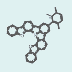 CC1=C(c2cc3c4ccc5c6ccccc6oc5c4n4c3c(c2)c2ccc3c5ccccc5oc3c24)[C@@H](C)C(C)C=C1